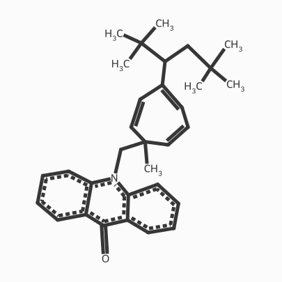 CC(C)(C)CC(C1=CC=CC(C)(Cn2c3ccccc3c(=O)c3ccccc32)C=C1)C(C)(C)C